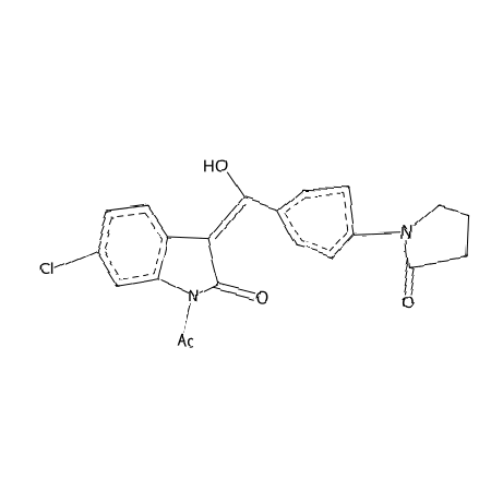 CC(=O)N1C(=O)C(=C(O)c2ccc(N3CCCC3=O)cc2)c2ccc(Cl)cc21